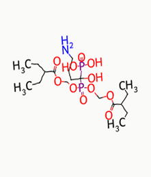 CCC(CC)C(=O)OCOP(=O)(OCOC(=O)C(CC)CC)C(O)(CCCN)P(=O)(O)O